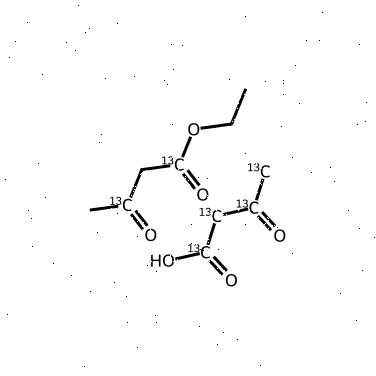 CCO[13C](=O)C[13C](C)=O.[13CH3][13C](=O)[13CH2][13C](=O)O